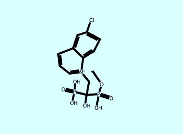 COP(=O)(O)C(O)(C[n+]1cccc2cc(Cl)ccc21)P(=O)(O)O